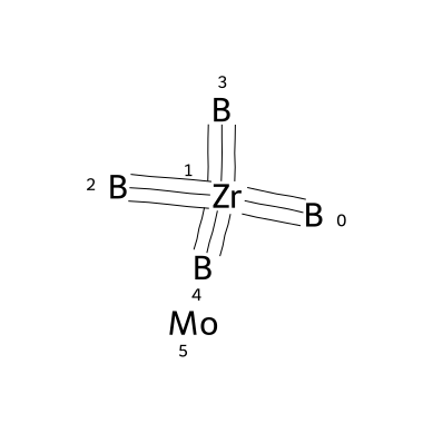 [B]#[Zr](#[B])(#[B])#[B].[Mo]